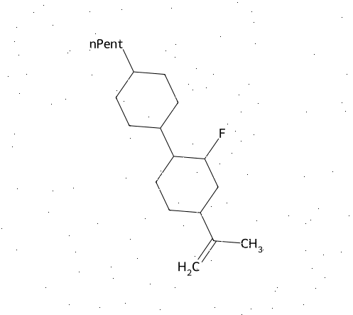 C=C(C)C1CCC(C2CCC(CCCCC)CC2)C(F)C1